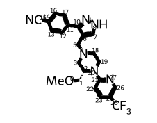 COC[C@@H]1CN(Cc2c[nH]nc2-c2ccc(C#N)cc2)CCN1c1ccc(C(F)(F)F)cn1